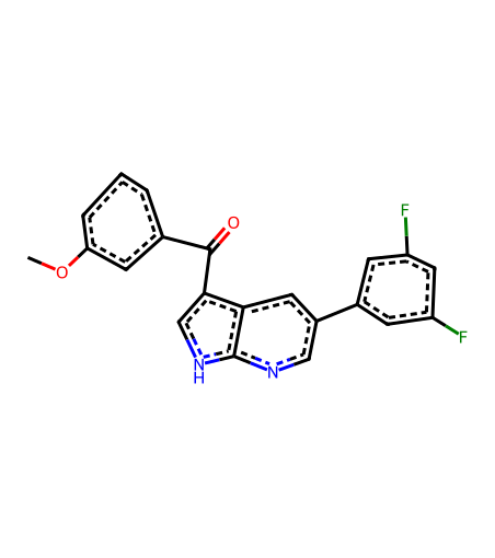 COc1cccc(C(=O)c2c[nH]c3ncc(-c4cc(F)cc(F)c4)cc23)c1